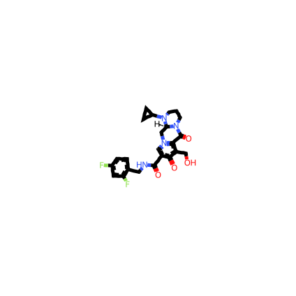 O=C(NCc1ccc(F)cc1F)c1cn2c(c(CO)c1=O)C(=O)N1CCCN(C3CC3)[C@@H]1C2